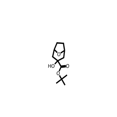 CC(C)(C)OC(=O)C1(O)CC2CCC(C1)O2